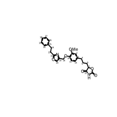 COc1cc(CCCC2OC(=O)NC2=O)ccc1OCc1coc(CCc2ccccc2)n1